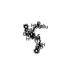 CCOC(=O)CN(CCNS(=O)(=O)c1nc2ccccc2s1)C(=O)Cn1cnc2c(NC(=O)OCc3ccccc3)nc(NCCCNC(=O)OC(C)(C)C)nc21